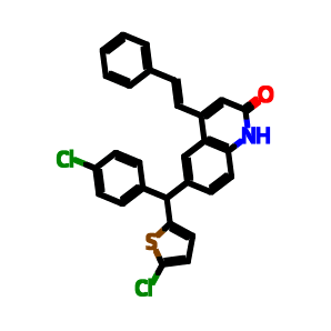 O=c1cc(C=Cc2ccccc2)c2cc(C(c3ccc(Cl)cc3)c3ccc(Cl)s3)ccc2[nH]1